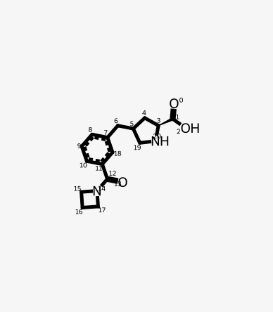 O=C(O)[C@@H]1CC(Cc2cccc(C(=O)N3CCC3)c2)CN1